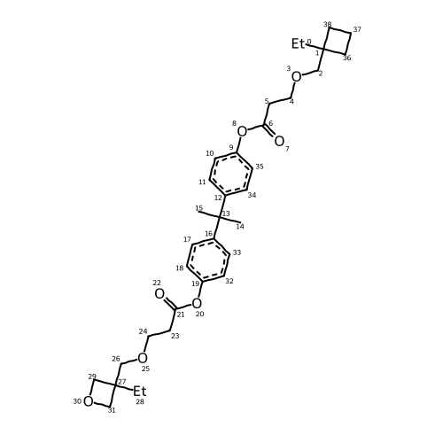 CCC1(COCCC(=O)Oc2ccc(C(C)(C)c3ccc(OC(=O)CCOCC4(CC)COC4)cc3)cc2)CCC1